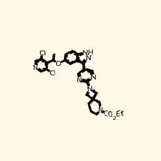 CCOC(=O)N1CCCC2(C1)CN(c1ncc(-c3n[nH]c4ccc(OC(C)c5c(Cl)cncc5Cl)cc34)cn1)C2